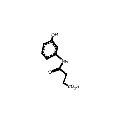 O=C(O)CCC(=O)Nc1cccc(O)c1